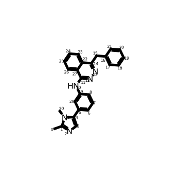 Cc1ncc(-c2cccc(Nc3nnc(Cc4ccccc4)c4ccccc34)c2)n1C